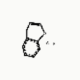 C1=COc2ccccc2C1.[Al].[Fe]